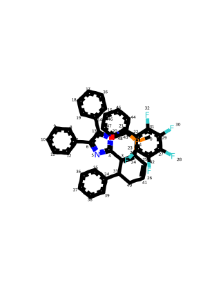 CP(C1=C(c2nc(-c3ccccc3)c(-c3ccccc3)n2Cc2c(F)c(F)c(F)c(F)c2F)C(c2ccccc2)CC=C1)c1ccccc1